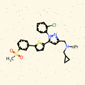 CCCN(Cc1cc(-c2ccc(-c3cccc(S(C)(=O)=O)c3)s2)n(-c2ccccc2Cl)n1)CC1CC1